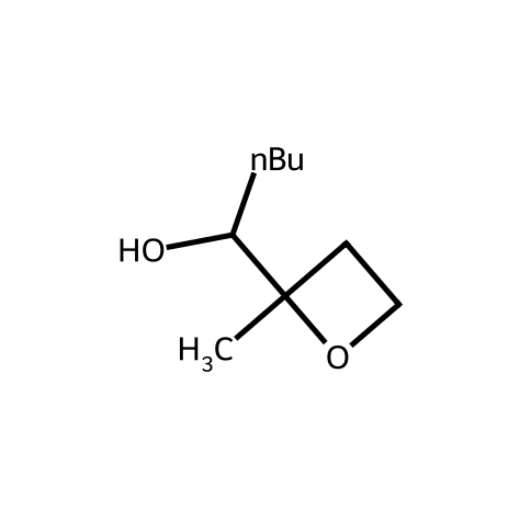 CCCCC(O)C1(C)CCO1